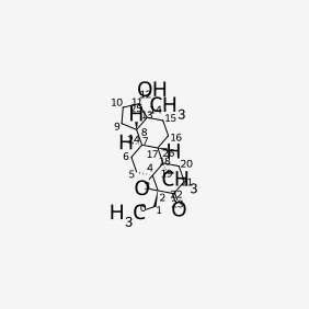 CC[C@@]12O[C@]13CC[C@H]1[C@@H]4CC[C@H](O)[C@@]4(C)CC[C@@H]1[C@@]3(C)CCC2=O